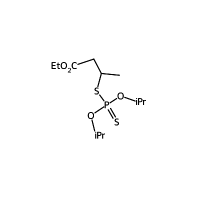 CCOC(=O)CC(C)SP(=S)(OC(C)C)OC(C)C